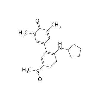 Cc1cc(-c2cc([S+](C)[O-])ccc2NC2CCCC2)cn(C)c1=O